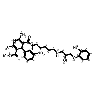 COC(=O)C1=C(C)NC(C)=C(C(=O)NCCCCCNCC(O)COc2ccccc2C#N)C1c1cccc([N+](=O)[O-])c1